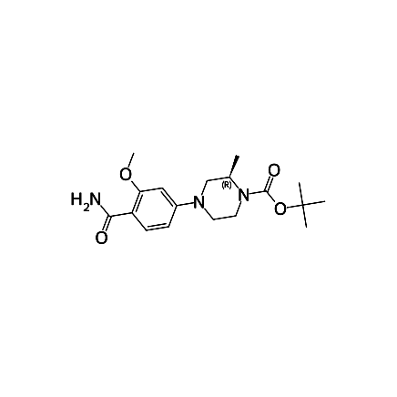 COc1cc(N2CCN(C(=O)OC(C)(C)C)[C@H](C)C2)ccc1C(N)=O